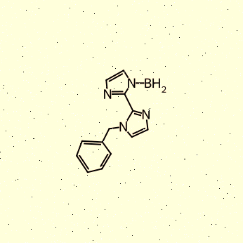 Bn1ccnc1-c1nccn1Cc1ccccc1